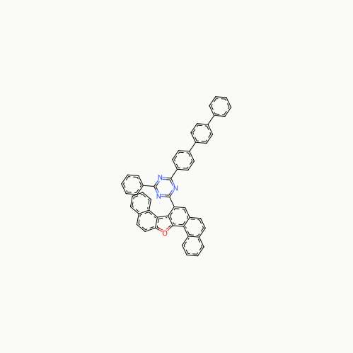 c1ccc(-c2ccc(-c3ccc(-c4nc(-c5ccccc5)nc(-c5cc6ccc7ccccc7c6c6oc7ccc8ccccc8c7c56)n4)cc3)cc2)cc1